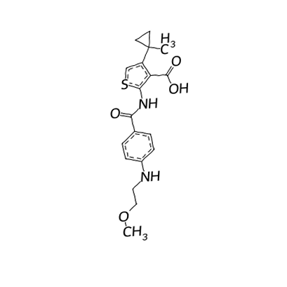 COCCNc1ccc(C(=O)Nc2scc(C3(C)CC3)c2C(=O)O)cc1